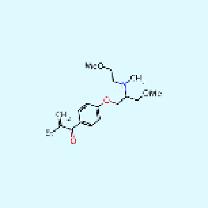 C=C(CC)C(=O)c1ccc(OCC(COC)N(C)CCOC)cc1